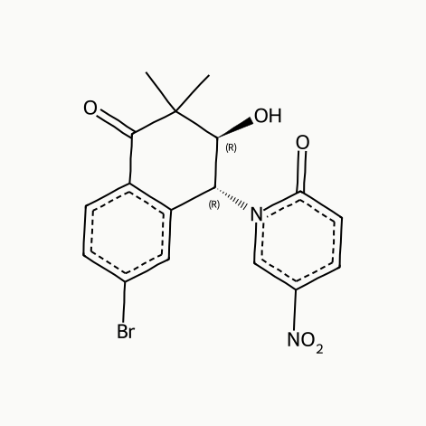 CC1(C)C(=O)c2ccc(Br)cc2[C@@H](n2cc([N+](=O)[O-])ccc2=O)[C@@H]1O